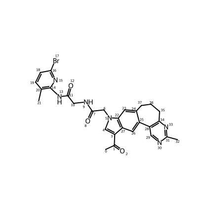 CC(=O)c1cn(CC(=O)NCC(=O)Nc2nc(Br)ccc2C)c2cc3c(cc12)-c1cnc(C)nc1CCC3